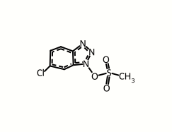 CS(=O)(=O)On1nnc2ccc(Cl)cc21